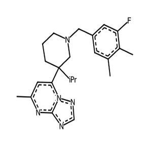 Cc1cc(C2(C(C)C)CCCN(Cc3cc(C)c(C)c(F)c3)C2)n2ncnc2n1